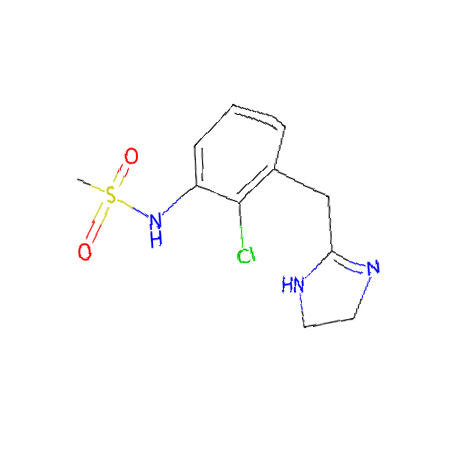 CS(=O)(=O)Nc1cccc(CC2=NCCN2)c1Cl